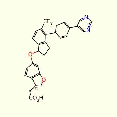 O=C(O)C[C@@H]1COc2cc(OC3CCc4c3ccc(C(F)(F)F)c4-c3ccc(-c4cncnc4)cc3)ccc21